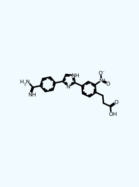 N=C(N)c1ccc(-c2c[nH]c(-c3ccc(CCC(=O)O)c([N+](=O)[O-])c3)n2)cc1